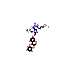 CCCCn1c(=O)[nH]c(=O)c2c1nc(COc1ccc3c(c1)OCC(Oc1ccccc1)C3=O)n2CC